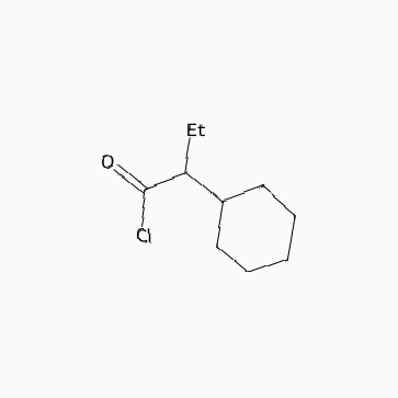 CCC(C(=O)Cl)C1CCCCC1